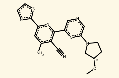 CO[C@@H]1CCN(c2cncc(-c3nc(-c4nccs4)cc(N)c3C#N)n2)C1